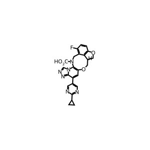 O=C(O)N1Cc2c(F)ccc3c2[C@@H](CO3)COc2cc(-c3cnc(C4CC4)nc3)c3nncn3c21